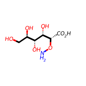 NO[C@@H](C(=O)O)[C@@H](O)[C@H](O)[C@H](O)CO